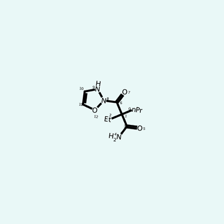 CCCC(CC)(C(N)=O)C(=O)N1NC=CO1